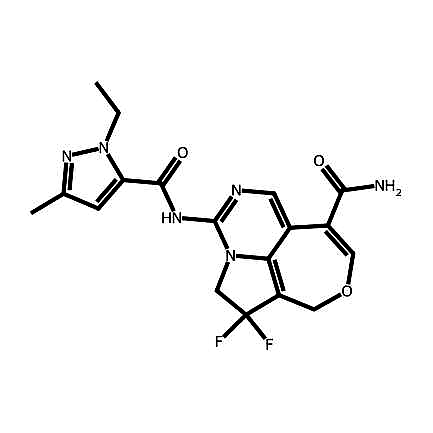 CCn1nc(C)cc1C(=O)NC1=NC=C2C(C(N)=O)=COCC3=C2N1CC3(F)F